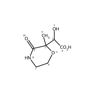 CC1(C(O)C(=O)O)OCCNC1=O